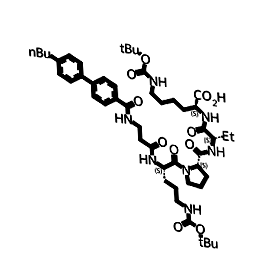 CCCCc1ccc(-c2ccc(C(=O)NCCC(=O)N[C@@H](CCCNC(=O)OC(C)(C)C)C(=O)N3CCC[C@H]3C(=O)N[C@@H](CC)C(=O)N[C@@H](CCCCNC(=O)OC(C)(C)C)C(=O)O)cc2)cc1